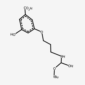 CC(C)(C)OC(O)NCCCOc1cc(O)cc(C(=O)O)c1